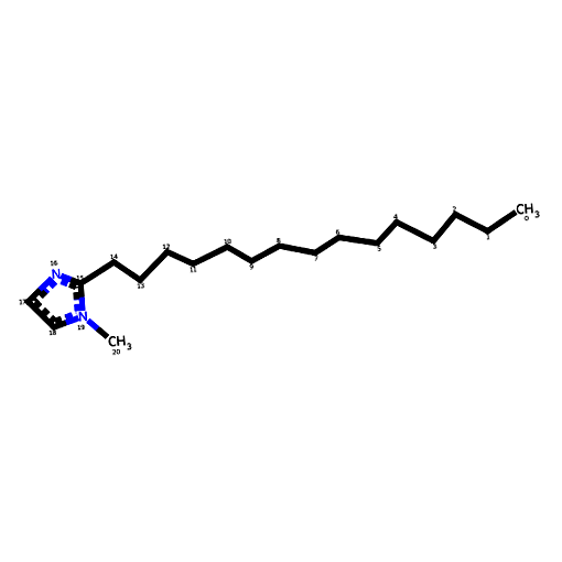 CCCCCCCCCCCCCCCc1nccn1C